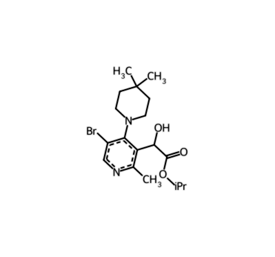 Cc1ncc(Br)c(N2CCC(C)(C)CC2)c1C(O)C(=O)OC(C)C